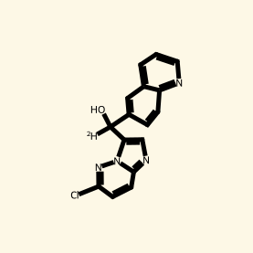 [2H]C(O)(c1ccc2ncccc2c1)c1cnc2ccc(Cl)nn12